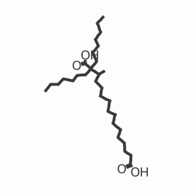 CCCCCCCC(CCCCCCC)(C(=O)O)C(C)CCCCCCCCCCCCC(=O)O